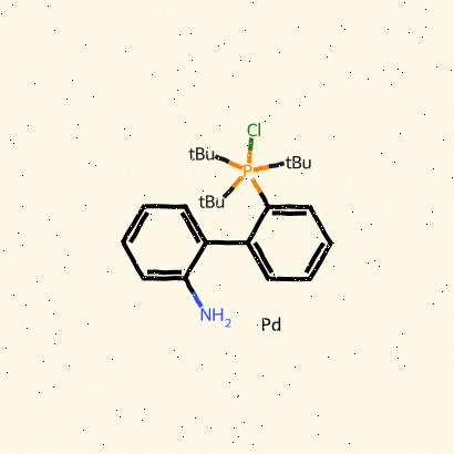 CC(C)(C)P(Cl)(c1ccccc1-c1ccccc1N)(C(C)(C)C)C(C)(C)C.[Pd]